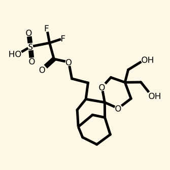 O=C(OCCC1CC2CCCC(C2)C12OCC(CO)(CO)CO2)C(F)(F)S(=O)(=O)O